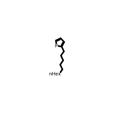 CCCCCCCCCCCC1=CC=C[P]1